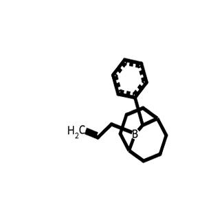 C=CCB1C2CCCC(CCC2)C1c1ccccc1